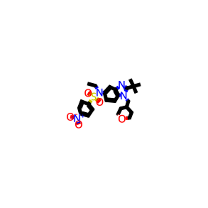 CCN(c1ccc2c(c1)nc(C(C)(C)C)n2CC1CCOCC1)S(=O)(=O)c1ccc([N+](=O)[O-])cc1